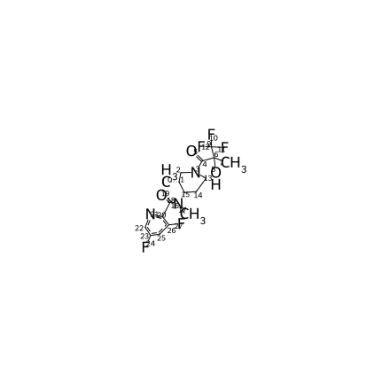 C[C@@H]1CN(C(=O)C(C)(O)C(F)(F)F)CC[C@@H]1N(C)C(=O)c1ncc(F)cc1F